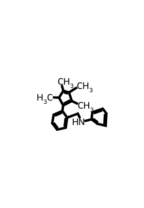 CC1=C(C)C(C)C(c2ccccc2CNc2ccccc2)=C1C